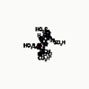 CC1(C)C(/C=C/C2=C(N(c3ccccc3)c3ccccc3)C(=C/C=C3/N(CCCCS(=O)(=O)O)c4ccc(C(=O)O)cc4C3(C)C)/CC2)=[N+](CCCCS(=O)(=O)O)c2ccc(C(=O)O)cc21